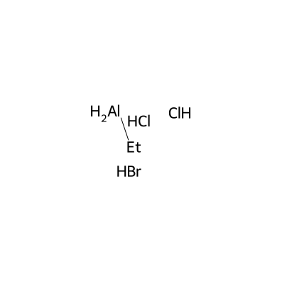 Br.C[CH2][AlH2].Cl.Cl